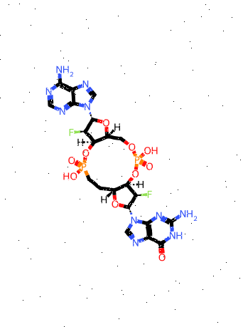 Nc1nc2c(ncn2[C@@H]2O[C@@H]3CCP(=O)(O)O[C@H]4[C@@H](F)[C@H](n5cnc6c(N)ncnc65)O[C@@H]4COP(=O)(O)O[C@H]3[C@H]2F)c(=O)[nH]1